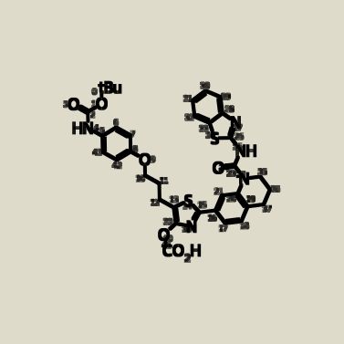 CC(C)(C)OC(=O)Nc1ccc(OCCCc2sc(-c3ccc4c(c3)N(C(=O)Nc3nc5ccccc5s3)CCC4)nc2OC(=O)O)cc1